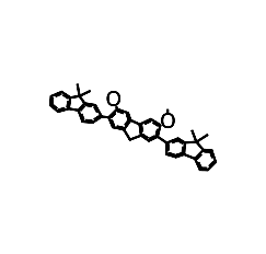 COc1cc2c(cc1-c1ccc3c(c1)C(C)(C)c1ccccc1-3)Cc1cc(-c3ccc4c(c3)C(C)(C)c3ccccc3-4)c(OC)cc1-2